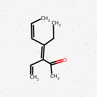 C=C/C(C(C)=O)=C(\C=C/C)CC